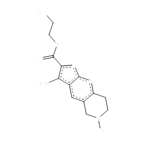 CCCNC(=O)c1sc2nc3c(cc2c1N)CN(C)CC3